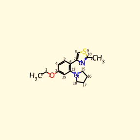 CCOc1ccc(-c2csc(C)n2)c(N2CCCC2)c1